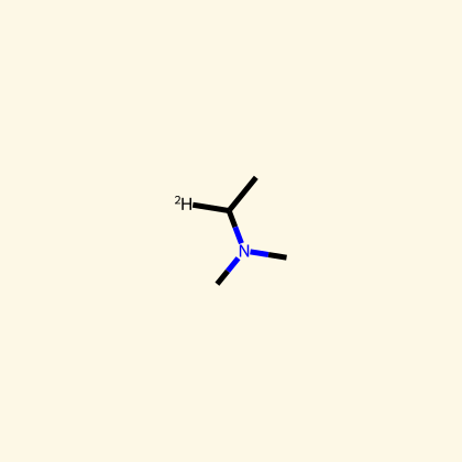 [2H]C(C)N(C)C